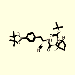 CC(C)(C)OC(=O)N1[C@@H]2CC[C@@H](C2)[C@H]1C(=O)N[C@H](C#N)Cc1ccc(B2OC(C)(C)C(C)(C)O2)cc1